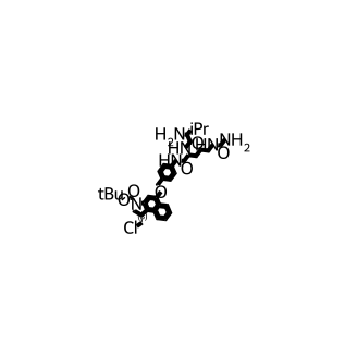 CC(C)C(N)C(=O)NC(CCCNC(N)=O)C(=O)Nc1ccc(COc2cc3c(c4ccccc24)[C@H](CCl)CN3C(=O)OC(C)(C)C)cc1